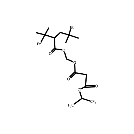 CCC(C)(C)CC(C(=O)OCOC(=O)CC(=O)OC(C(F)(F)F)C(F)(F)F)C(C)(C)CC